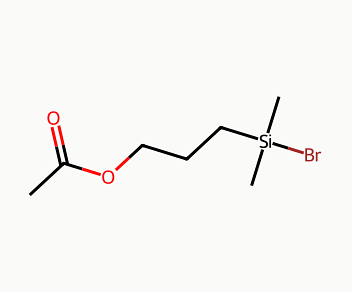 CC(=O)OCCC[Si](C)(C)Br